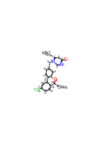 CCCCc1cc(=O)ncn1Cc1ccc(-c2cc(Cl)ccc2C(=O)OC)cc1